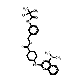 CN(C)c1nc(NC2CCC(C(=O)NCc3cccc(NC(=O)C(C)(C)C)c3)CC2)nc2ccccc12